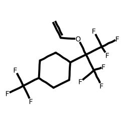 C=COC(C1CCC(C(F)(F)F)CC1)(C(F)(F)F)C(F)(F)F